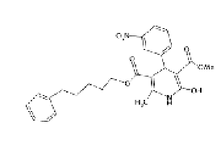 COC(=O)C1=C(O)NC(C)=C(C(=O)OCCCCCc2ccccc2)C1c1cccc([N+](=O)[O-])c1